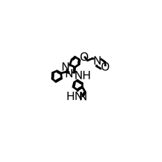 c1ccc(-c2nc(Nc3ccc4[nH]ncc4c3)c3cc(OCCN4CCOCC4)ccc3n2)cc1